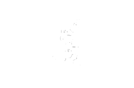 CCN1CCc2c([nH]c(Br)c2CNC(=O)Nc2sc3c(c2C(=O)OC2CCCC2)CCCC3)C1